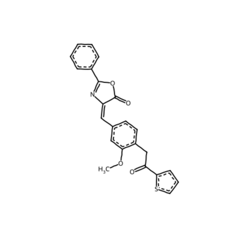 COc1cc(/C=C2/N=C(c3ccccc3)OC2=O)ccc1CC(=O)c1cccs1